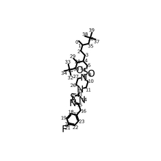 CC(CCC(CS(=O)(=O)N1CCN(c2nc(Cc3ccc(F)cc3)ns2)CC1)C(C)CC(C)(C)C)CC(C)(C)C